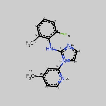 Fc1cccc(C(F)(F)F)c1Nc1nccn1-c1cc(C(F)(F)F)ccn1